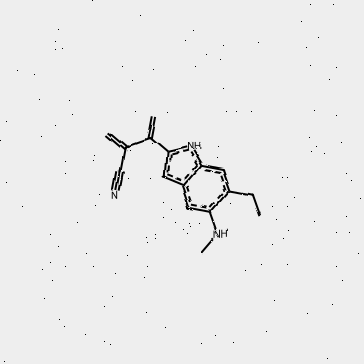 C=C(C#N)C(=C)c1cc2cc(NC)c(CC)cc2[nH]1